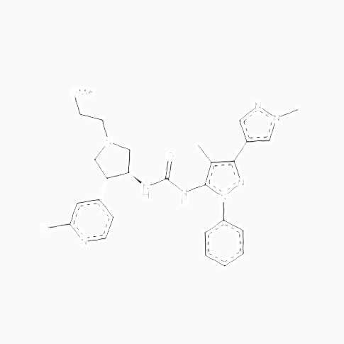 COCCN1C[C@@H](NC(=O)Nc2c(C)c(-c3cnn(C)c3)nn2-c2ccccc2)[C@H](c2ccnc(Cl)c2)C1